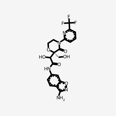 Nc1noc2cc(NC(=O)C(O)[C@@]3(CO)OCCN(c4cccc(C(F)(F)F)n4)C3=O)ccc12